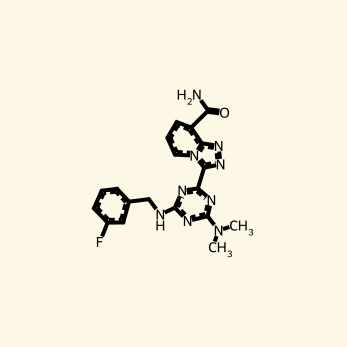 CN(C)c1nc(NCc2cccc(F)c2)nc(-c2nnc3c(C(N)=O)cccn23)n1